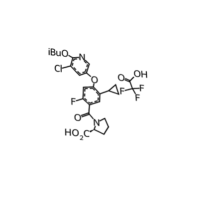 CC(C)COc1ncc(Oc2cc(F)c(C(=O)N3CCC[C@H]3C(=O)O)cc2C2CC2)cc1Cl.O=C(O)C(F)(F)F